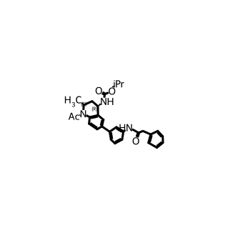 CC(=O)N1c2ccc(-c3cccc(NC(=O)Cc4ccccc4)c3)cc2[C@H](NC(=O)OC(C)C)C[C@@H]1C